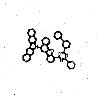 C1=CC(c2nc(-c3cccc(-c4ccccc4)c3)nc(-c3cccc4c3oc3c5ccccc5c(-n5c6cc7ccccc7cc6c6cc7ccccc7cc65)cc43)n2)=CCC1